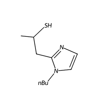 CCCCn1ccnc1CC(C)S